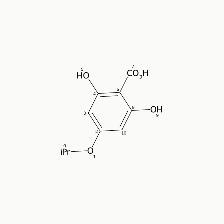 CC(C)Oc1cc(O)c(C(=O)O)c(O)c1